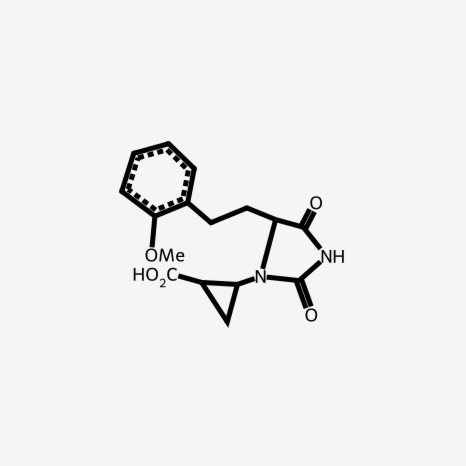 COc1ccccc1CCC1C(=O)NC(=O)N1C1CC1C(=O)O